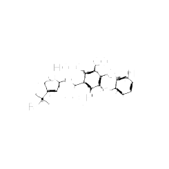 CC(C)(Br)C1=CC(OCc2c(C(=O)O)c(Oc3ccccc3)c(C(=O)O)c(C(=O)O)c2C(=O)O)OC1